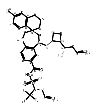 C=CC[C@H](C(F)(F)F)S(=O)(=O)NC(=O)c1ccc2c(c1)N(C[C@@H]1CC[C@H]1[C@@H](O)CC=C)C[C@@]1(CCCc3cc(Cl)ccc31)CO2